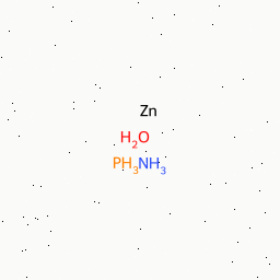 N.O.P.[Zn]